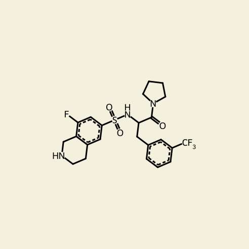 O=C(C(Cc1cccc(C(F)(F)F)c1)NS(=O)(=O)c1cc(F)c2c(c1)CCNC2)N1CCCC1